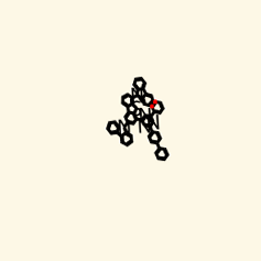 c1ccc(-c2ccc(-c3nc(-c4ccccc4)nc(-c4cc(-n5c6ccccc6c6ccccc65)cc5c4sc4c(-n6c7ccccc7c7ccccc76)cccc45)n3)cc2)cc1